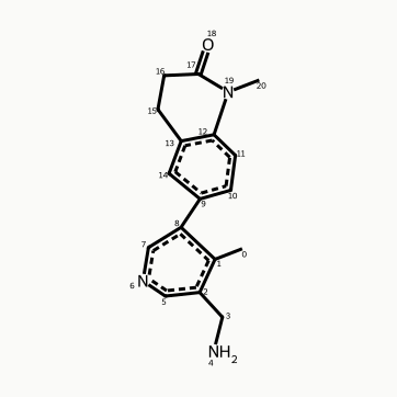 Cc1c(CN)cncc1-c1ccc2c(c1)CCC(=O)N2C